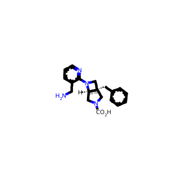 NCc1cccnc1N1C[C@@]2(Cc3ccccc3)CN(C(=O)O)C[C@@H]12